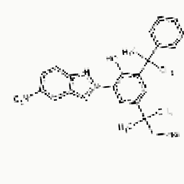 CC(C)(C)CC(C)(C)c1cc(-n2nc3ccc([N+](=O)[O-])cc3n2)c(O)c(C(C)(C)c2ccccc2)c1